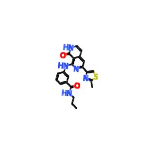 CCCNC(=O)c1cccc(Nc2nc(-c3csc(C)n3)cc3cc[nH]c(=O)c23)c1